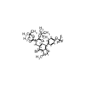 Cn1cnc2c(-c3ccc(OC(F)(F)F)cc3)cc(CN(C(=O)OC(C)(C)C)C(=O)OC(C)(C)C)c(Br)c21